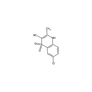 CC1=C(C#N)S(=O)(=O)c2cc(Cl)ccc2N1